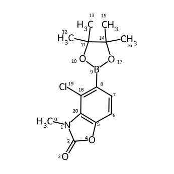 Cn1c(=O)oc2ccc(B3OC(C)(C)C(C)(C)O3)c(Cl)c21